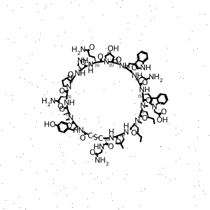 CCCC[C@H]1C(=O)N(C)[C@@H](CCCC)C(=O)N[C@@H](CC(C)C)C(=O)N[C@H](C(=O)NCC(N)=O)CSCC(=O)N[C@@H](Cc2ccc(O)cc2)C(=O)N(C)[C@@H](C)C(=O)N[C@@H](CC(N)=O)C(=O)N2CCC[C@H]2C(=O)N[C@@H](CN)C(=O)N[C@@H](CCC(N)=O)C(=O)N2C[C@H](O)C[C@H]2C(=O)N[C@@H](Cc2c[nH]c3ccccc23)C(=O)N[C@@H](CCN)C(=O)N[C@@H](Cc2cn(CC(=O)O)c3ccccc23)C(=O)N1C